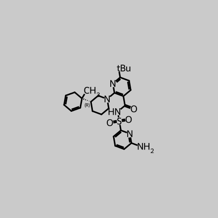 CC(C)(C)c1ccc(C(=O)NS(=O)(=O)c2cccc(N)n2)c(N2CCC[C@H](C3(C)C=CC=CC3)C2)n1